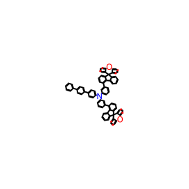 c1ccc(-c2ccc(-c3ccc(N(c4cccc(-c5cccc6c5-c5ccccc5C65c6ccccc6Oc6ccccc65)c4)c4cccc(-c5cccc6c5-c5ccccc5C65c6ccccc6Oc6ccccc65)c4)cc3)cc2)cc1